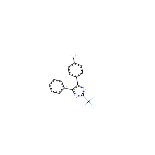 Cc1ccc(-c2nc(C(F)(F)F)[nH]c2-c2ccccc2)cc1